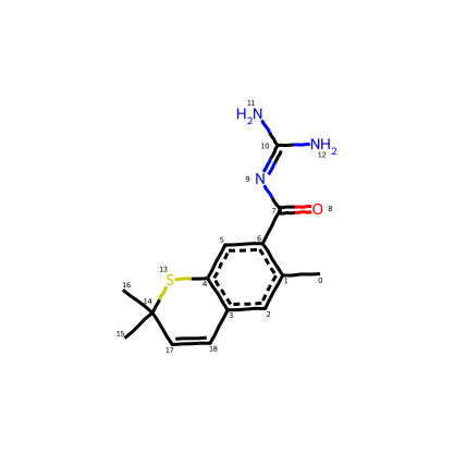 Cc1cc2c(cc1C(=O)N=C(N)N)SC(C)(C)C=C2